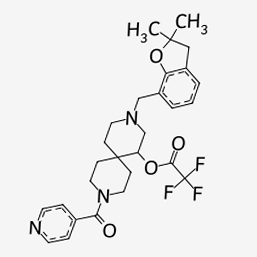 CC1(C)Cc2cccc(CN3CCC4(CCN(C(=O)c5ccncc5)CC4)C(OC(=O)C(F)(F)F)C3)c2O1